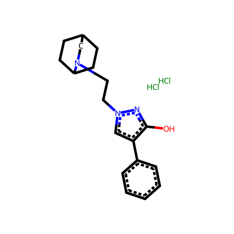 Cl.Cl.Oc1nn(CCN2CC3CCC2CC3)cc1-c1ccccc1